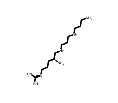 NCCCNCCCNC[C@@H](N)CCCN=C(N)N